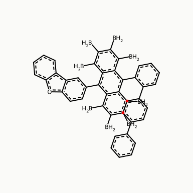 Bc1c(B)c(B)c2c(-c3ccccc3-c3ccc(-c4ccccc4)cc3)c3c(B)c(B)c(B)c(B)c3c(-c3ccc4oc5ccccc5c4c3)c2c1B